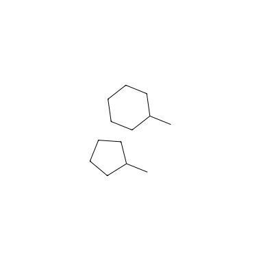 CC1CCCC1.CC1CCCCC1